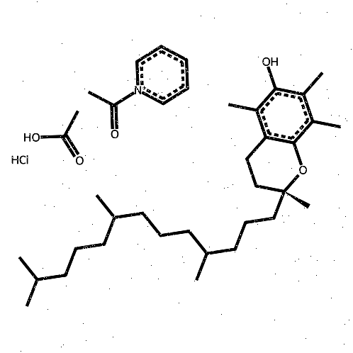 CC(=O)O.CC(=O)[n+]1ccccc1.Cc1c(C)c2c(c(C)c1O)CC[C@@](C)(CCCC(C)CCCC(C)CCCC(C)C)O2.Cl